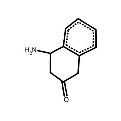 NC1CC(=O)Cc2ccccc21